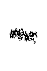 Cc1ccc(C(=S)Nc2cccc(-c3nncn3C(C)C)n2)c(F)c1-n1cnc(C2CC2)c1